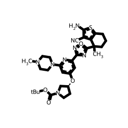 CN1CCN(c2cc(O[C@@H]3CCN(C(=O)OC(C)(C)C)C3)cc(-c3noc(C4(C)CCCc5sc(N)c(C#N)c54)n3)n2)CC1